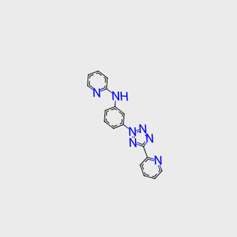 c1ccc(Nc2cccc(-n3nnc(-c4ccccn4)n3)c2)nc1